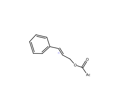 CC(=O)C(=O)OC/C=C/c1ccccc1